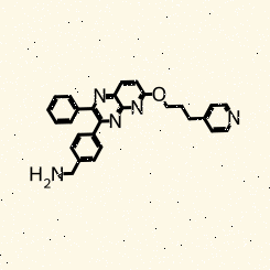 NCc1ccc(-c2nc3nc(OCCCc4ccncc4)ccc3nc2-c2ccccc2)cc1